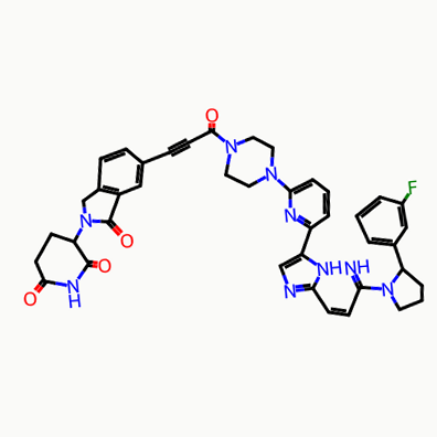 N=C(/C=C\c1ncc(-c2cccc(N3CCN(C(=O)C#Cc4ccc5c(c4)C(=O)N(C4CCC(=O)NC4=O)C5)CC3)n2)[nH]1)N1CCCC1c1cccc(F)c1